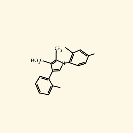 Cc1ccc(-n2cc(-c3ccccc3C)c(C(=O)O)c2C(F)(F)F)c(C)c1